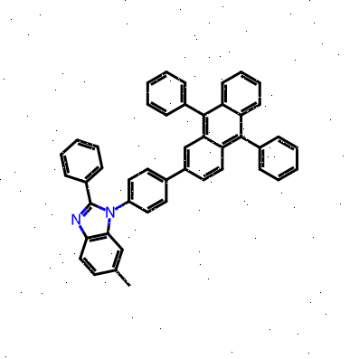 Cc1ccc2nc(-c3ccccc3)n(-c3ccc(-c4ccc5c(-c6ccccc6)c6ccccc6c(-c6ccccc6)c5c4)cc3)c2c1